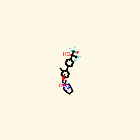 COCC(=O)N1C2CCC1CN(Cc1ccc(-c3ccc(C(O)(C(F)(F)F)C(F)(F)F)cc3)c(C)c1)C2